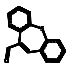 O=CC1=Cc2ccccc2Sc2ccccc21